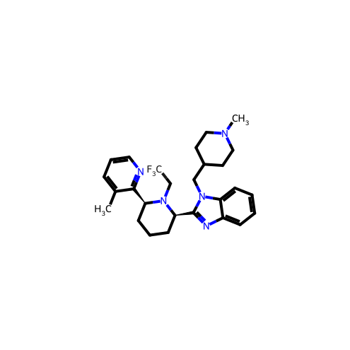 Cc1cccnc1[C@@H]1CCC[C@H](c2nc3ccccc3n2CC2CCN(C)CC2)N1CC(F)(F)F